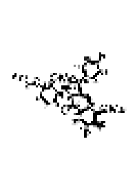 COc1c(OCC(C)=O)cccc1C1CC(c2ccc(F)cc2)=CC1C(=O)c1cc(F)c(F)c(OC)c1F